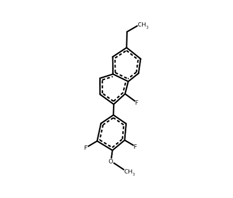 CCc1ccc2c(F)c(-c3cc(F)c(OC)c(F)c3)ccc2c1